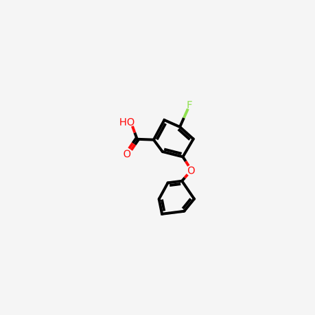 O=C(O)c1cc(F)cc(Oc2ccccc2)c1